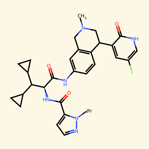 CC(C)n1nccc1C(=O)N[C@H](C(=O)Nc1ccc2c(c1)CN(C)CC2c1cc(F)c[nH]c1=O)C(C1CC1)C1CC1